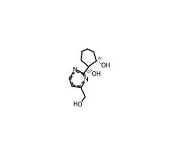 OCc1ccnc([C@@]2(O)CCCC[C@@H]2O)n1